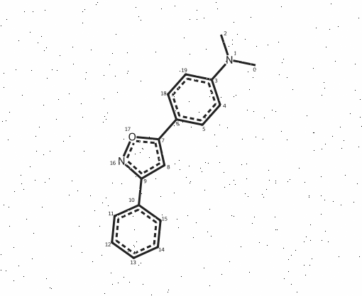 CN(C)c1ccc(-c2cc(-c3ccccc3)no2)cc1